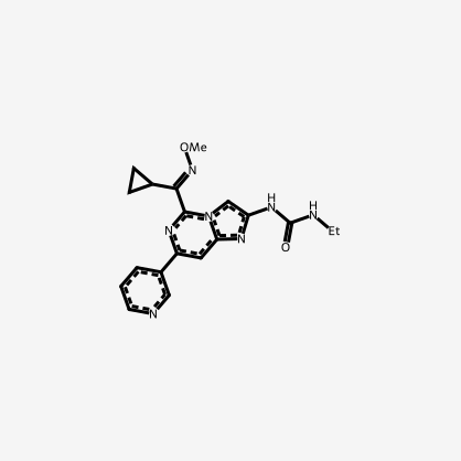 CCNC(=O)Nc1cn2c(C(=NOC)C3CC3)nc(-c3cccnc3)cc2n1